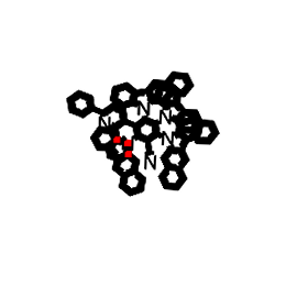 N#Cc1c(-n2c3ccccc3c3cc4ccccc4cc32)c(-c2ccc(-c3ccccc3)nc2-c2ccccc2)c(-n2c3ccccc3c3cc4ccccc4cc32)c(-n2c3ccccc3c3cc4ccccc4cc32)c1-n1c2ccccc2c2cc3ccccc3cc21